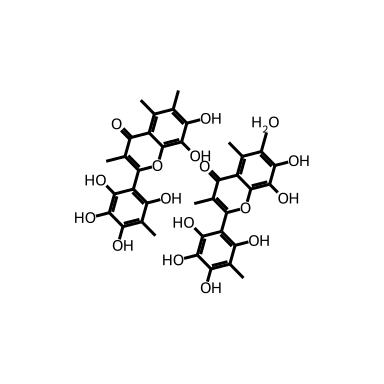 Cc1c(O)c(O)c(O)c(-c2oc3c(O)c(O)c(C)c(C)c3c(=O)c2C)c1O.Cc1c(O)c(O)c(O)c(-c2oc3c(O)c(O)c(C)c(C)c3c(=O)c2C)c1O.O